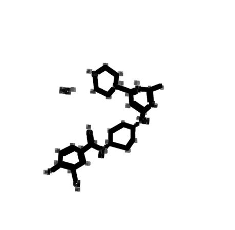 Cc1nc(N[C@H]2CC[C@@H](NC(=O)c3ccc(F)c(Cl)c3)CC2)cc(N2CCOCC2)n1.Cl